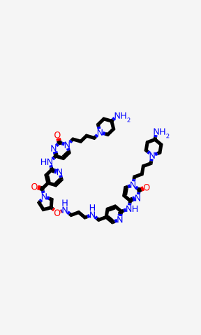 NC1CCN(CCCCn2ccc(Nc3ccc(CNCCCNOC4CCN(C(=O)c5ccnc(Nc6ccn(CCCCN7CCC(N)CC7)c(=O)n6)c5)C4)cn3)nc2=O)CC1